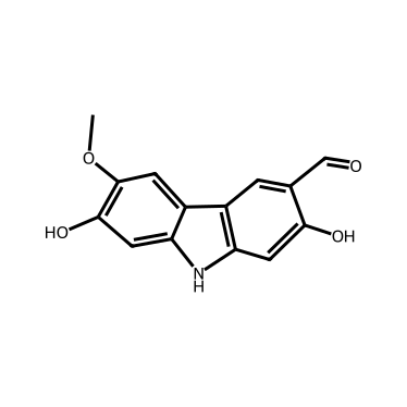 COc1cc2c(cc1O)[nH]c1cc(O)c(C=O)cc12